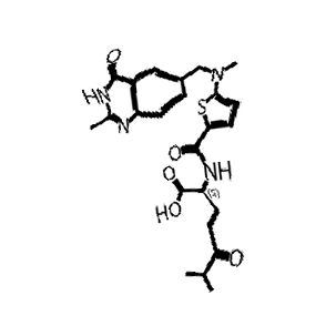 Cc1nc2ccc(CN(C)c3ccc(C(=O)N[C@@H](CCC(=O)C(C)C)C(=O)O)s3)cc2c(=O)[nH]1